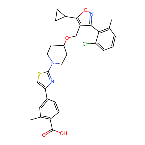 Cc1cc(-c2csc(N3CCC(OCc4c(-c5c(C)cccc5Cl)noc4C4CC4)CC3)n2)ccc1C(=O)O